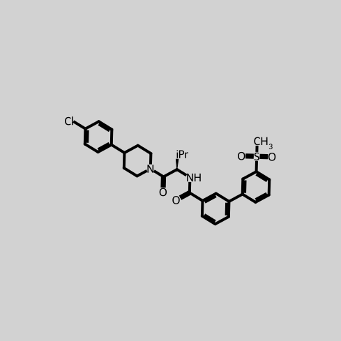 CC(C)[C@@H](NC(=O)c1cccc(-c2cccc(S(C)(=O)=O)c2)c1)C(=O)N1CCC(c2ccc(Cl)cc2)CC1